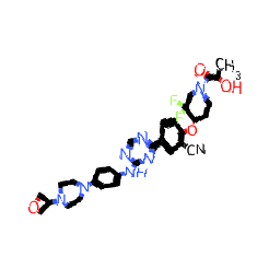 CC(O)C(=O)N1CC[C@H](Oc2ccc(-c3ncnc(Nc4ccc(N5CCN(C6COC6)CC5)cc4)n3)cc2C#N)C(F)(F)C1